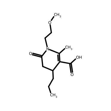 CCCC1CC(=O)N(CCOC)C(C)=C1C(=O)O